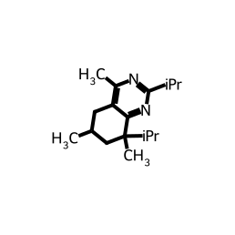 Cc1nc(C(C)C)nc2c1CC(C)CC2(C)C(C)C